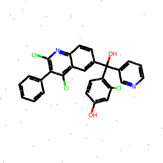 Oc1ccc(C(O)(c2cccnc2)c2ccc3nc(Cl)c(-c4ccccc4)c(Cl)c3c2)c(Cl)c1